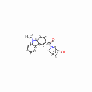 Cn1c2ccccc2c2cc(C(=O)N3CC4CC(O)C3C4)ccc21